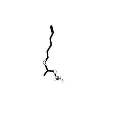 C=CCCCCOC(C)O[SiH3]